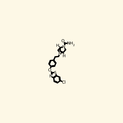 NC(=O)N1C[C@H]2C[C@@H]1CN2CCc1ccc(Oc2nc3ccc(Cl)cc3s2)cc1